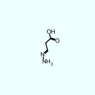 NN=CCC(=O)O